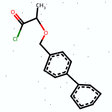 CC(OCc1ccc(-c2ccccc2)cc1)C(=O)Cl